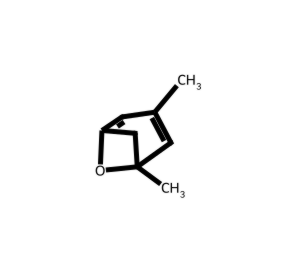 CC1=CC2(C)CC(=C1)O2